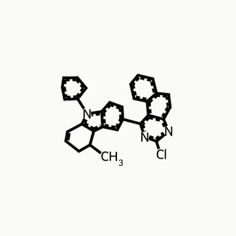 CC1CC=Cc2c1c1cc(-c3nc(Cl)nc4ccc5ccccc5c34)ccc1n2-c1ccccc1